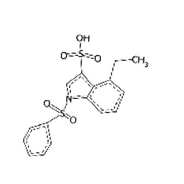 CCc1cccc2c1c(S(=O)(=O)O)cn2S(=O)(=O)c1ccccc1